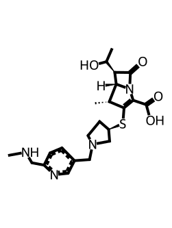 CNCc1ccc(CN2CC[C@@H](SC3=C(C(=O)O)N4C(=O)[C@H](C(C)O)[C@H]4[C@H]3C)C2)cn1